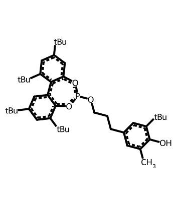 Cc1cc(CCCOp2oc3cc(C(C)(C)C)cc(C(C)(C)C)c3c3cc(C(C)(C)C)cc(C(C)(C)C)c3o2)cc(C(C)(C)C)c1O